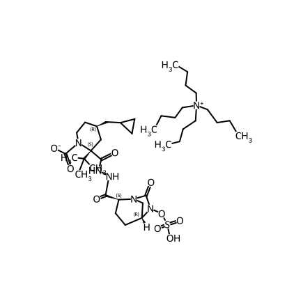 CC(C)(C)[C@]1(C(=O)NNC(=O)[C@@H]2CC[C@@H]3CN2C(=O)N3OS(=O)(=O)O)C[C@H](CC2CC2)CCN1C(=O)[O-].CCCC[N+](CCCC)(CCCC)CCCC